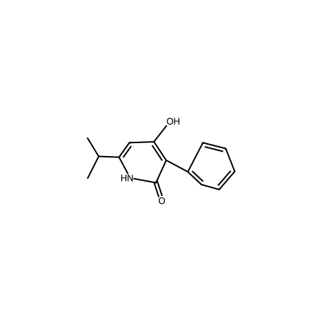 CC(C)c1cc(O)c(-c2ccccc2)c(=O)[nH]1